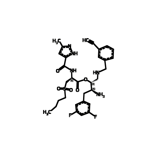 C#Cc1cccc(CNC[C@@H](OC(=O)[C@@H](CS(=O)(=O)CCCC)NC(=O)c2cc(C)n[nH]2)[C@@H](N)Cc2cc(F)cc(F)c2)c1